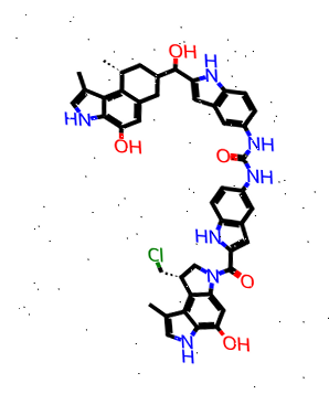 Cc1c[nH]c2c(O)cc3c(c12)[C@H](CCl)CN3C(=O)c1cc2cc(NC(=O)Nc3ccc4[nH]c(C(O)C5Cc6cc(O)c7[nH]cc(C)c7c6[C@H](C)C5)cc4c3)ccc2[nH]1